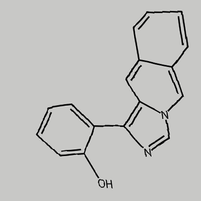 Oc1ccccc1-c1ncn2cc3ccccc3cc12